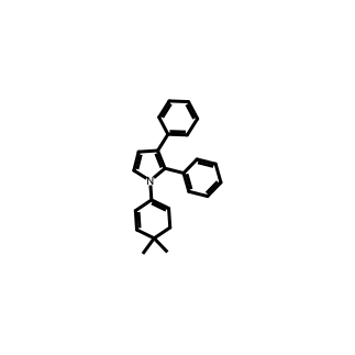 CC1(C)C=CC(n2ccc(-c3ccccc3)c2-c2ccccc2)=CC1